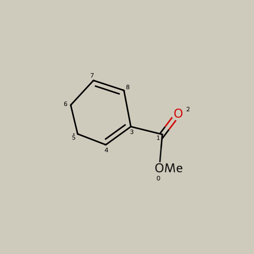 COC(=O)C1=C[CH]CC=C1